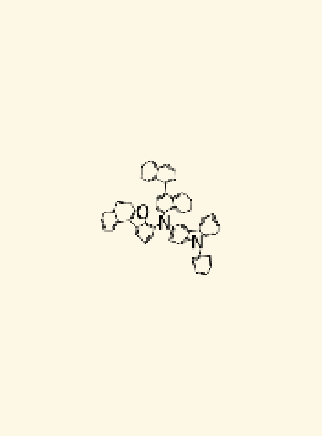 c1ccc(-n2c3ccccc3c3cc(N(c4ccc(-c5cccc6ccccc56)c5ccccc45)c4cccc5c4oc4ccc6ccccc6c45)ccc32)cc1